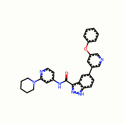 O=C(Nc1ccnc(N2CCCCC2)c1)c1n[nH]c2ccc(-c3cncc(Oc4ccccc4)c3)cc12